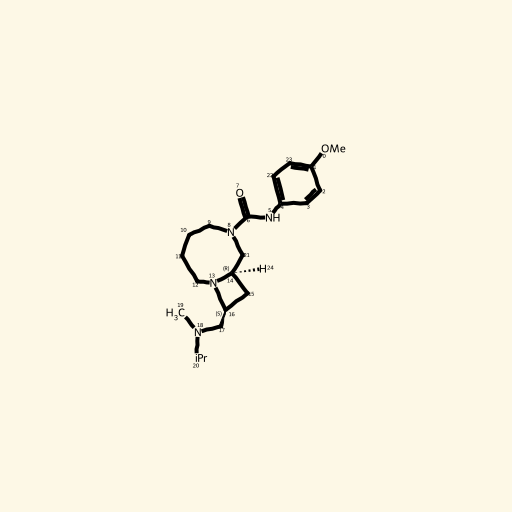 COc1ccc(NC(=O)N2CCCCN3[C@H](C[C@H]3CN(C)C(C)C)C2)cc1